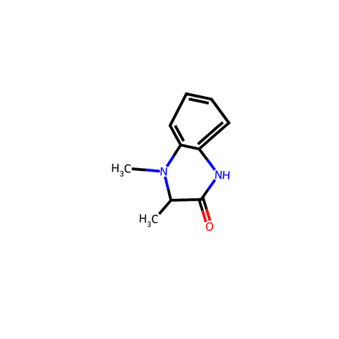 CC1C(=O)Nc2ccccc2N1C